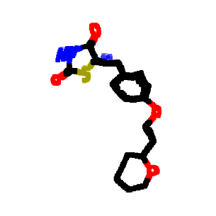 O=C1NC(=O)/C(=C/c2ccc(OCCC3CCCCO3)cc2)S1